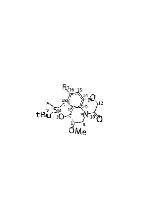 COC(CO[Si](C)(C)C(C)(C)C)CN1C(=O)COc2cc(F)ccc21